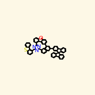 c1ccc(-c2nc(-c3cccc4oc5ccc(-c6cccc(-c7ccc8c(c7)C7(c9ccccc9-c9ccccc97)c7ccccc7-8)c6)cc5c34)nc(-c3cccc4sc5ccccc5c34)n2)cc1